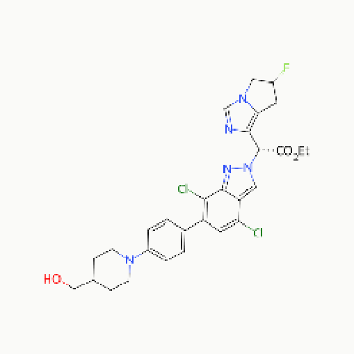 CCOC(=O)[C@@H](c1ncn2c1C[C@@H](F)C2)n1cc2c(Cl)cc(-c3ccc(N4CCC(CO)CC4)cc3)c(Cl)c2n1